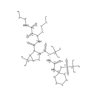 CCCCC(NC(=O)C1C2C(CN1C(=O)[C@@H](NC(=O)NC1(CS(=O)(=O)C(C)(C)C)CCCCC1)C(C)(C)C)C2(C)C)C(=O)C(=O)NCCC